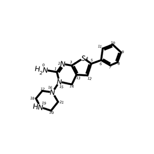 NC1=Nc2sc(-c3ccccc3)cc2CN1N1CCNCC1